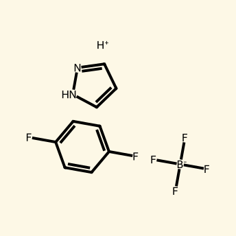 F[B-](F)(F)F.Fc1ccc(F)cc1.[H+].c1cn[nH]c1